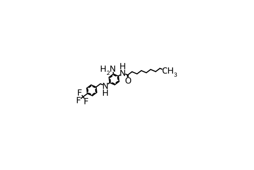 CCCCCCCCC(=O)Nc1ccc(NCc2ccc(C(F)(F)F)cc2)cc1N